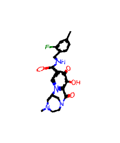 Cc1ccc(CNC(=O)c2cn3c(c(O)c2=O)C(=O)N2CCN(C)CC3C2)c(F)c1